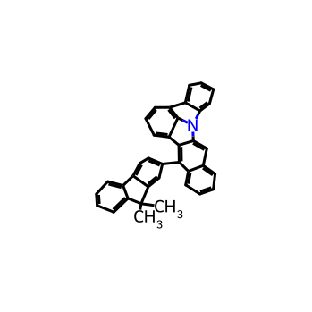 CC1(C)c2ccccc2-c2ccc(-c3c4ccccc4cc4c3c3cccc5c6ccccc6n4c53)cc21